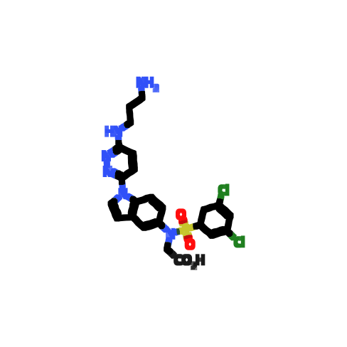 NCCCNc1ccc(-n2ccc3cc(N(CC(=O)O)S(=O)(=O)C4C=C(Cl)C=C(Cl)C4)ccc32)nn1